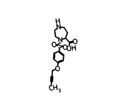 CC#CCOc1ccc(S(=O)(=O)N2CCNCCC2C(=O)O)cc1